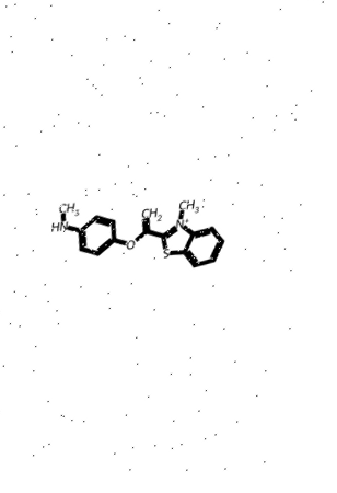 C=C(Oc1ccc(NC)cc1)c1sc2ccccc2[n+]1C